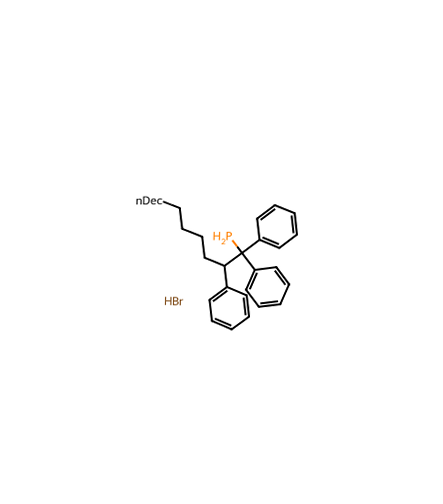 Br.CCCCCCCCCCCCCCC(c1ccccc1)C(P)(c1ccccc1)c1ccccc1